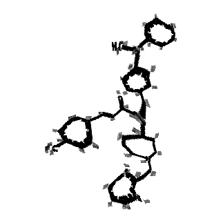 CN(c1ccncc1)c1ccc(CN(C(=O)/C=C/c2ccc(C(F)(F)F)cc2)C2CCN(Cc3ncccn3)CC2)cc1